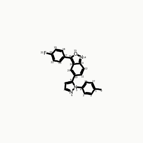 Cc1ccc(-n2nccc2-c2ccc3noc(-c4ccc(F)cc4)c3c2)cc1